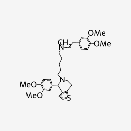 COc1ccc(CCN(C)CCCCCN2CCc3sccc3C2c2ccc(OC)c(OC)c2)cc1OC